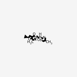 Cc1cnc(NC(=O)Cn2nc(C)c3oc(C4CC4)cc3c2=O)nc1